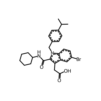 CC(C)c1ccc(Cn2c(C(=O)NC3CCCCC3)c(CC(=O)O)c3cc(Br)ccc32)cc1